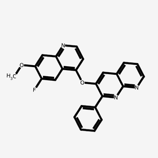 COc1cc2nccc(Oc3cc4cccnc4nc3-c3ccccc3)c2cc1F